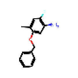 Cc1cc(F)c(N)cc1OCc1ccccc1